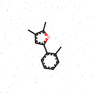 Cc1ccccc1-c1cc(C)c(C)o1